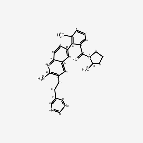 Cc1cccc(C(=O)N2CCCC2C)c1-c1ccc2nc(N)c(CCc3cncnc3)cc2c1